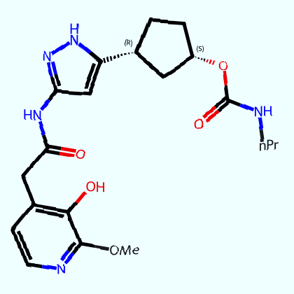 CCCNC(=O)O[C@H]1CC[C@@H](c2cc(NC(=O)Cc3ccnc(OC)c3O)n[nH]2)C1